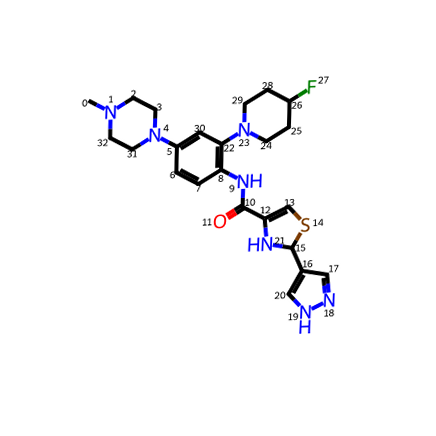 CN1CCN(c2ccc(NC(=O)C3=CSC(c4cn[nH]c4)N3)c(N3CCC(F)CC3)c2)CC1